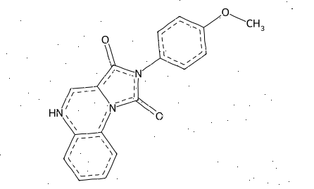 COc1ccc(-n2c(=O)c3c[nH]c4ccccc4n-3c2=O)cc1